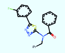 CC(C)CN(C(=O)c1ccccc1)c1nnc(-c2cccc(F)c2)s1